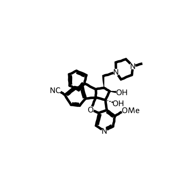 COc1cncc2c1[C@]1(O)[C@H](O)[C@H](CN3CCN(C)CC3)C(c3ccccc3)C1(c1ccc(C#N)cc1)O2